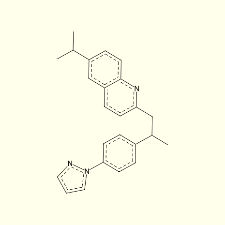 CC(C)c1ccc2nc(CC(C)c3ccc(-n4cccn4)cc3)ccc2c1